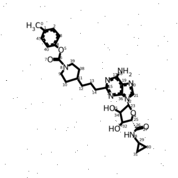 Cc1ccc(OC(=O)N2CCC(CCCc3nc(N)c4ncn([C@@H]5O[C@H](C(=O)NC6CC6)C(O)C5O)c4n3)CC2)cc1